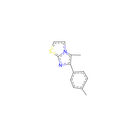 Cc1ccc(-c2nc3sccn3c2C)cc1